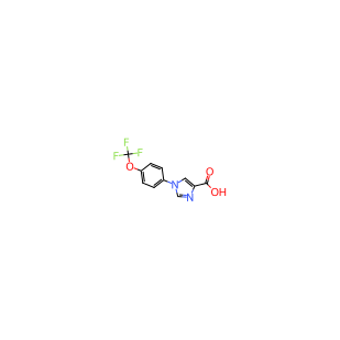 O=C(O)c1cn(-c2ccc(OC(F)(F)F)cc2)cn1